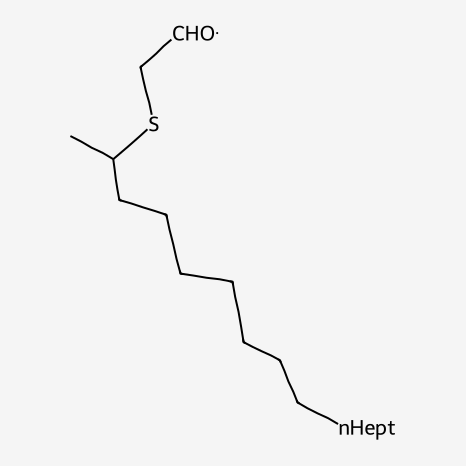 CCCCCCCCCCCCCCC(C)SC[C]=O